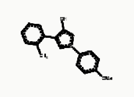 COc1ccc(-n2cc(-c3ccccc3C)c(O)n2)cc1